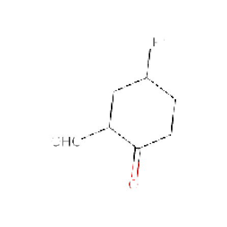 CC(C)C1CCC(=O)C(C=O)C1